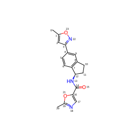 Cc1cc(-c2ccc3c(c2)CC[C@H]3NC(=O)c2cnc(C)o2)no1